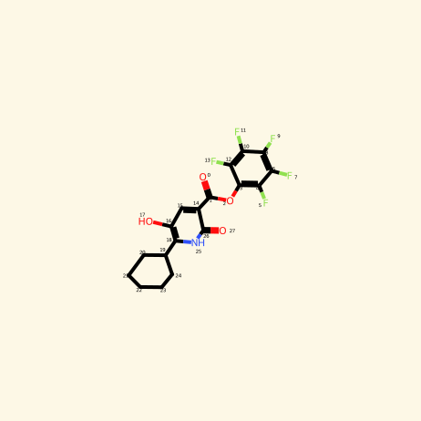 O=C(Oc1c(F)c(F)c(F)c(F)c1F)c1cc(O)c(C2CCCCC2)[nH]c1=O